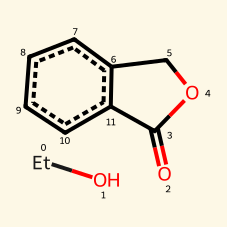 CCO.O=C1OCc2ccccc21